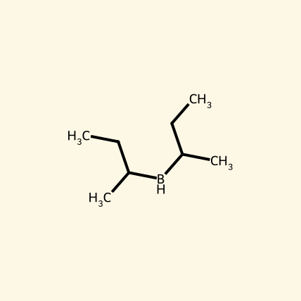 CCC(C)BC(C)CC